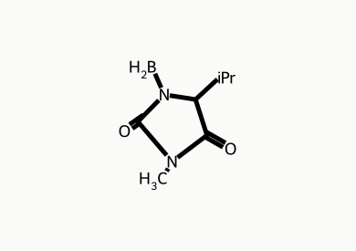 BN1C(=O)N(C)C(=O)C1C(C)C